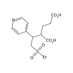 CCS(=O)(=O)CC(c1ccncc1)C(CCC(=O)O)C(=O)O